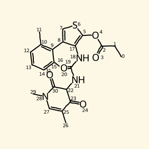 CCC(=O)Oc1scc(-c2c(C)cccc2C)c1NC(=O)NC1C(=O)C(C)=CN(C)C1=O